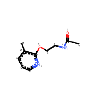 CC(=O)NCCOc1ncccc1C